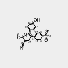 COc1nc(-c2ccc(O)cc2)c(-c2ccc(S(C)(=O)=O)cc2)cc1C#N